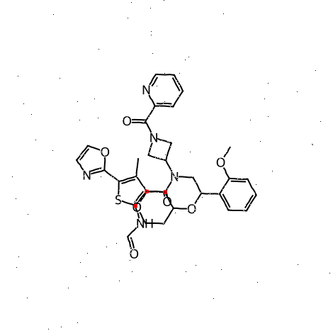 COc1ccccc1C(CN(C(=O)c1c(NC=O)sc(-c2ncco2)c1C)C1CN(C(=O)c2ccccn2)C1)OC1CCOCC1